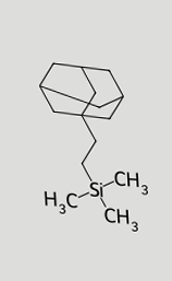 C[Si](C)(C)CCC12CC3CC(CC(C3)C1)C2